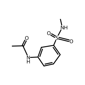 CNS(=O)(=O)c1cccc(NC(C)=O)c1